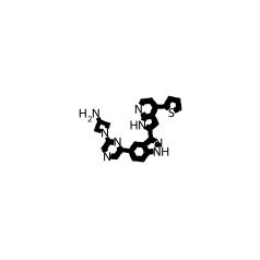 NC1CN(c2cncc(-c3ccc4[nH]nc(-c5cc6c(-c7cccs7)ccnc6[nH]5)c4c3)n2)C1